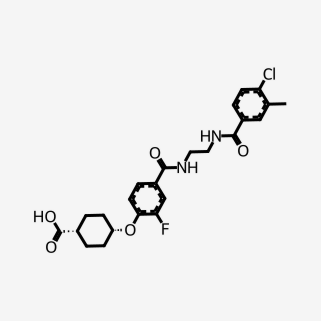 Cc1cc(C(=O)NCCNC(=O)c2ccc(O[C@H]3CC[C@@H](C(=O)O)CC3)c(F)c2)ccc1Cl